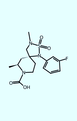 C[C@H]1C[C@]2(CCN1C(=O)O)CN(C)S(=O)(=O)N2c1cccc(F)c1